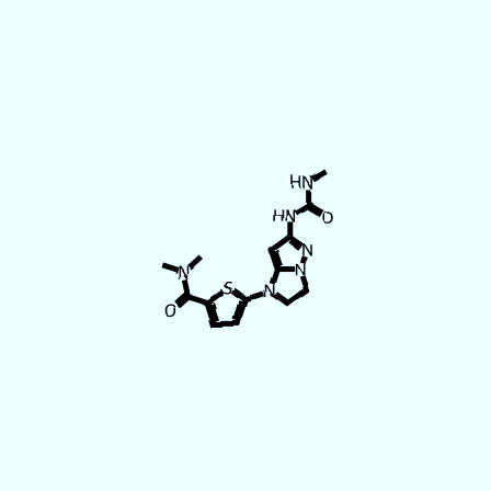 CNC(=O)Nc1cc2n(n1)CCN2c1ccc(C(=O)N(C)C)s1